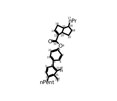 CCCCCc1ccc(-c2ccc(OC(=O)C3=CCC4C(CCC)CCC34)cc2)c(F)c1F